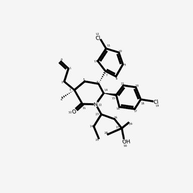 C=CC[C@@]1(C)C[C@H](c2cccc(Cl)c2)[C@@H](c2ccc(Cl)cc2)N(C(CC)CC(C)(C)O)C1=O